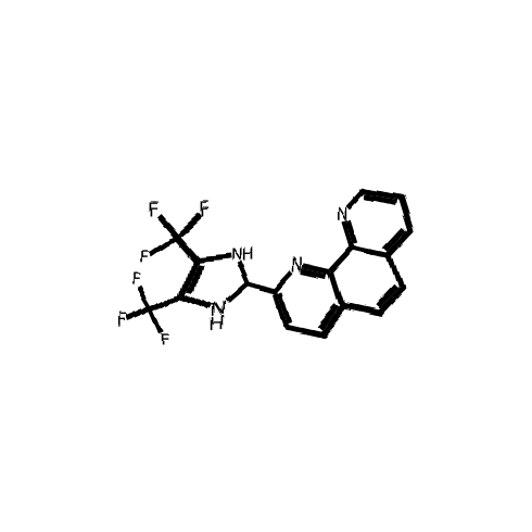 FC(F)(F)C1=C(C(F)(F)F)NC(c2ccc3ccc4cccnc4c3n2)N1